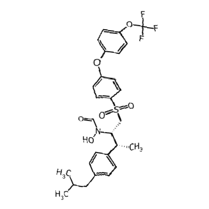 CC(C)Cc1ccc([C@@H](C)[C@@H](CS(=O)(=O)c2ccc(Oc3ccc(OC(F)(F)F)cc3)cc2)N(O)C=O)cc1